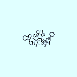 Cc1c(-c2cc(C(=O)O)c3c(O[C@H]4CCC[C@H](c5ccccc5)C4)ccc(C)c3n2)oc2ccccc12